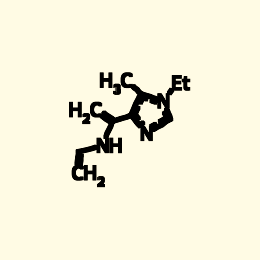 C=CNC(=C)c1ncn(CC)c1C